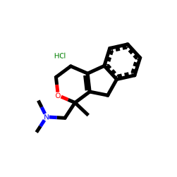 CN(C)CC1(C)OCCC2=C1Cc1ccccc12.Cl